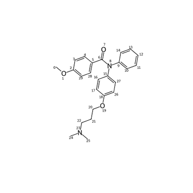 COc1ccc(C(=O)N(c2ccccc2)c2ccc(OCCCN(C)C)cc2)cc1